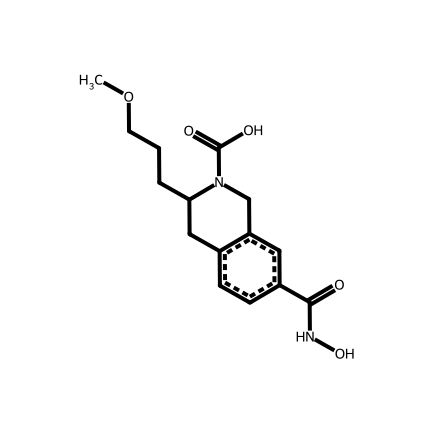 COCCCC1Cc2ccc(C(=O)NO)cc2CN1C(=O)O